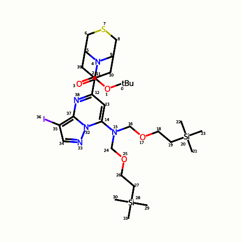 CC(C)(C)OC(=O)N1C2CSCC1CC(c1cc(N(COCC[Si](C)(C)C)COCC[Si](C)(C)C)n3ncc(I)c3n1)C2